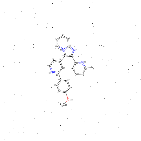 Cc1cccc(-c2nc3ccccn3c2-c2ccnc(-c3ccc(OC(F)(F)F)cc3)c2)n1